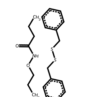 CCCONC(=O)CCC.c1ccc(CSSCc2ccccc2)cc1